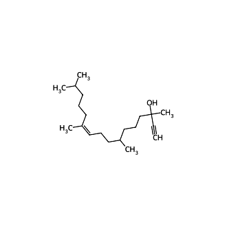 C#CC(C)(O)CCCC(C)CC/C=C(/C)CCCC(C)C